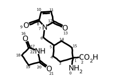 NC1(C(=O)O)CCC(CN2C(=O)C=CC2=O)CC1.O=C1CCC(=O)N1